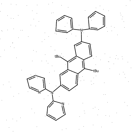 CC(C)(C)c1c2ccc(N(c3ccccc3)c3ccccc3)cc2c(C(C)(C)C)c2cc(N(c3ccccn3)c3ccccn3)ccc12